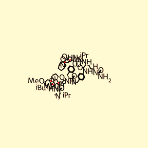 CC[C@H](C)[C@@H]([C@@H](CC(=O)N1CCC[C@H]1[C@H](OC)[C@@H](C)C(=O)N[C@@H](Cc1ccccc1)C(=O)N(C)Cc1ccc(NC(=O)[C@H](CCCNC(N)=O)NC(=O)[C@@H](NC(=O)CCC(=O)N2C3CCC2CC(C(=O)OC)C3)C(C)C)cc1)OC)N(C)C(=O)[C@@H](NC(=O)[C@H](C(C)C)N(C)C)C(C)C